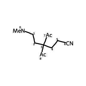 CNCCC(CCC#N)(C(C)=O)C(C)=O